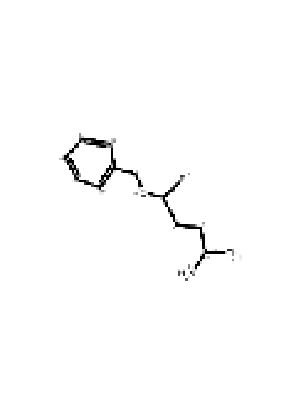 CC(N)CCC(F)OCc1ccccc1